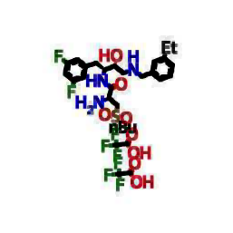 CCCCS(=O)(=O)C[C@@H](N)C(=O)N[C@@H](Cc1cc(F)cc(F)c1)[C@H](O)CNCc1cccc(CC)c1.O=C(O)C(F)(F)F.O=C(O)C(F)(F)F